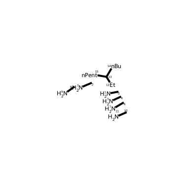 CN.CN.CN.CN.CN.CN.[CH2]CC(CCCC)CCCCC